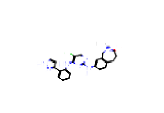 CN1Cc2cc(Nc3ncc(Cl)c(Nc4ccccc4-c4cc[nH]n4)n3)ccc2CCC1=O